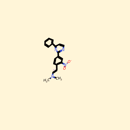 CN(C)/C=C/c1ccc(-c2nccc(-c3ccccc3)n2)cc1[N+](=O)[O-]